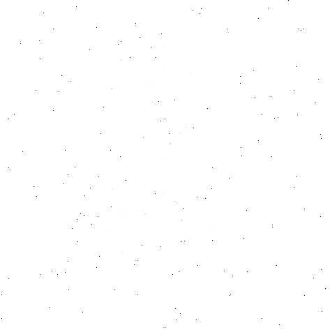 O=C(Nc1c(F)cccc1Cl)c1cc(F)c(-c2nc(CO)c3n2CCCC3)cc1O